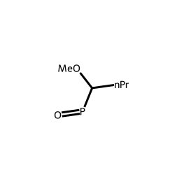 CCCC(OC)P=O